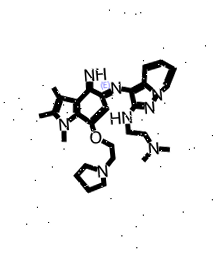 Cc1c2c(n(C)c1C)C(OCCN1CCCC1)=C/C(=N\c1c(NCCN(C)C)nn3ccccc13)C2=N